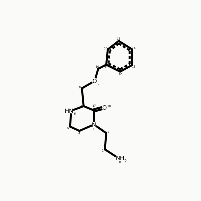 NCCN1CCNC(COCc2ccccc2)C1=O